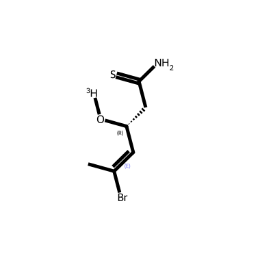 [3H]O[C@@H](/C=C(\C)Br)CC(N)=S